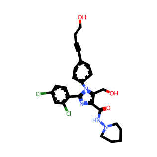 O=C(NN1CCCCC1)c1nc(-c2ccc(Cl)cc2Cl)n(-c2ccc(C#CCCO)cc2)c1CO